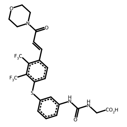 O=C(O)CNC(=O)Nc1cccc(Sc2ccc(/C=C/C(=O)N3CCOCC3)c(C(F)(F)F)c2C(F)(F)F)c1